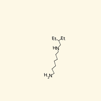 CCC(CC)CNCCCCCCCN